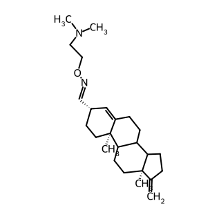 C=C1CCC2C3CCC4=C[C@@H](C=NOCCN(C)C)CC[C@]4(C)C3CC[C@]12C